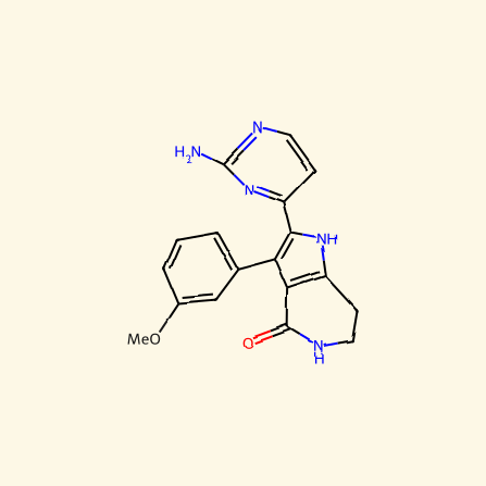 COc1cccc(-c2c(-c3ccnc(N)n3)[nH]c3c2C(=O)NCC3)c1